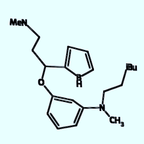 CCC(C)CCN(C)c1cccc(OC(CCNC)C2=CC=CB2)c1